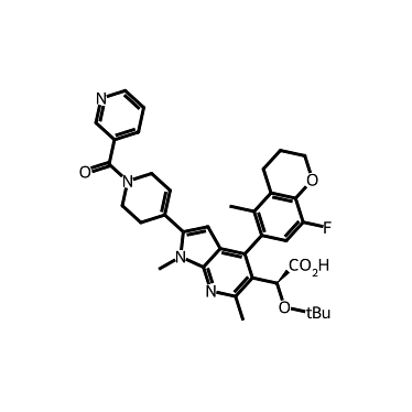 Cc1nc2c(cc(C3=CCN(C(=O)c4cccnc4)CC3)n2C)c(-c2cc(F)c3c(c2C)CCCO3)c1[C@H](OC(C)(C)C)C(=O)O